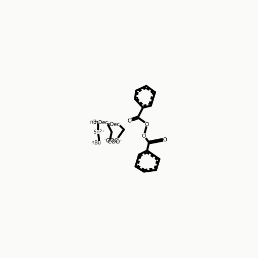 CCCCCCCCCCCC(=O)[O-].CCCCCCCCCCCC(=O)[O-].CCC[CH2][Sn+2][CH2]CCC.O=C(OOC(=O)c1ccccc1)c1ccccc1